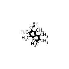 CC(=O)COc1c(C)c(C)c2nc(C)c(C)c(C)c2c1C